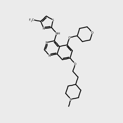 CN1CCC(CCOc2cc(OC3CCOCC3)c3c(Nc4nc(C(F)(F)F)cs4)ncnc3c2)CC1